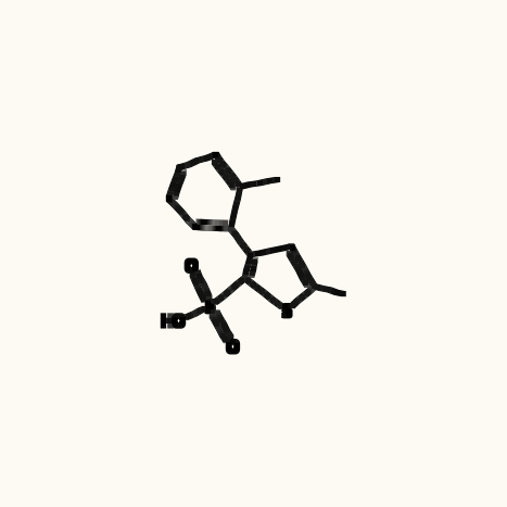 Cc1cc(-c2ccccc2C)c(S(=O)(=O)O)s1